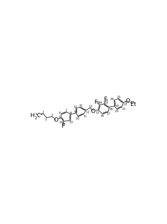 C=CCCOc1ccc(-c2ccc(COc3ccc(-c4ccc(OCC)cc4)c(F)c3F)cc2)cc1F